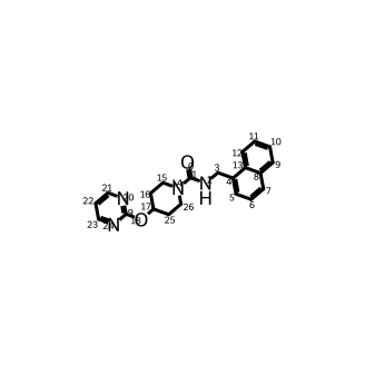 O=C(NCc1cccc2ccccc12)N1CCC(Oc2ncccn2)CC1